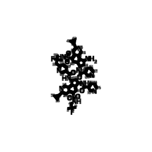 CC(C)(F)CNS(=O)(=O)c1cc2c(c3cnc(C4CC4)cc13)C(NC(=O)c1ccc(CC(C)(F)CNS(=O)(=O)c3cc4c(c5cnc(C6CC6)cc35)C(N)CC4NC(=O)c3cccnc3)nc1)CC2NC(=O)c1cccnc1